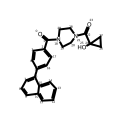 O=C(c1ccc(-c2cccc3ccccc23)cc1)N1CCN(C(=O)C2(O)CC2)CC1